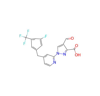 O=Cc1cn(-c2cc(Cc3cc(F)cc(C(F)(F)F)c3)ccn2)nc1C(=O)O